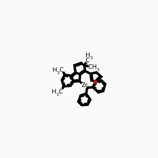 Cc1cc(C)c2c(c1)=[C]([Zr]=[C](c1ccccc1)c1ccccc1)C1=C(C3=CC=CC3)C(C)(C)C=CC=21